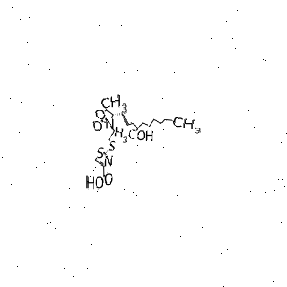 CCCCCCC(C)(O)C/C=C/[C@H]1[C@H](C)OC(=O)N1CCSc1nc(C(=O)O)cs1